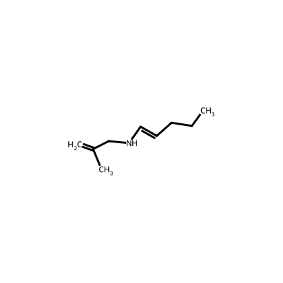 C=C(C)CNC=CCCC